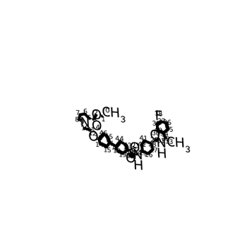 CCOC(=O)[C@H]1CCCN1CCOc1ccc(-c2ccc(S(=O)(=O)N[C@H]3CC[C@H](C(=O)N[C@H](C)c4ccc(F)cc4)CC3)cc2)cc1